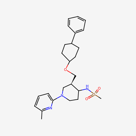 Cc1cccc(N2CCC(NS(C)(=O)=O)[C@H](COC3CCC(c4ccccc4)CC3)C2)n1